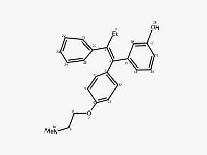 CC/C(=C(/c1ccc(OCCNC)cc1)c1cccc(O)c1)c1ccccc1